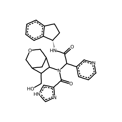 O=C(N[C@H]1CCc2ccccc21)C(c1cccnc1)N(C(=O)c1c[nH]cn1)C1C2COCC(C2)C1CO